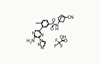 Cc1ccc(S(=O)(=O)NC23CCC(C#N)(C2)C3)cc1-c1cnc(N)c(-n2ccnn2)n1.O=C(O)C(F)(F)F